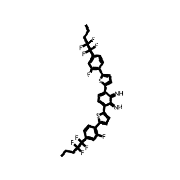 CCCC(F)(F)C(F)(F)c1ccc(-c2ccc(C3=CC=C(c4ccc(-c5ccc(C(F)(F)C(F)(F)CCC)cc5F)s4)C(=N)C3=N)s2)c(F)c1